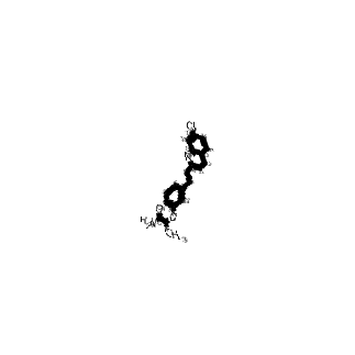 CC(Oc1cccc(/C=C/c2ccc3ccc(Cl)cc3n2)c1)C(N)=O